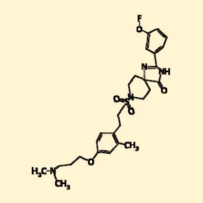 Cc1cc(OCCCN(C)C)ccc1CCS(=O)(=O)N1CCC2(CC1)N=C(c1cccc(OF)c1)NC2=O